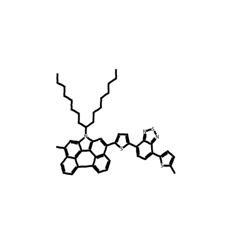 CCCCCCCCC(CCCCCCCC)n1c2cc(C)c3cccc4c5cccc6c(-c7ccc(-c8ccc(-c9ccc(C)s9)c9nsnc89)s7)cc1c(c65)c2c34